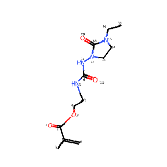 C=C(C)C(=O)OCCNC(=O)NN1CCN(CC)C1=O